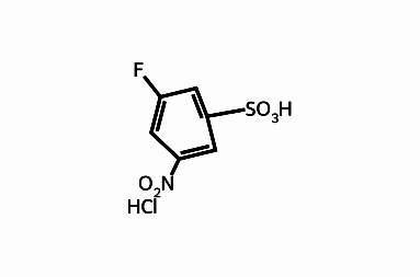 Cl.O=[N+]([O-])c1cc(F)cc(S(=O)(=O)O)c1